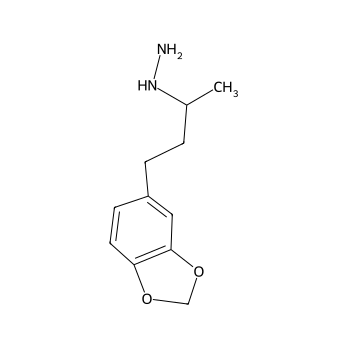 CC(CCc1ccc2c(c1)OCO2)NN